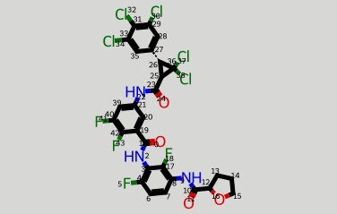 O=C(Nc1c(F)ccc(NC(=O)C2CCCO2)c1F)c1cc(NC(=O)C2[C@H](c3cc(Cl)c(Cl)c(Cl)c3)C2(Cl)Cl)cc(F)c1F